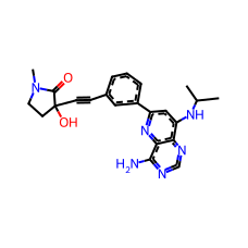 CC(C)Nc1cc(-c2cccc(C#CC3(O)CCN(C)C3=O)c2)nc2c(N)ncnc12